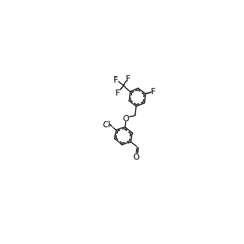 O=Cc1ccc(Cl)c(OCc2cc(F)cc(C(F)(F)F)c2)c1